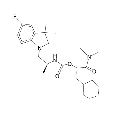 C[C@@H](CN1CC(C)(C)c2cc(F)ccc21)NC(=O)O[C@@H](CC1CCCCC1)C(=O)N(C)C